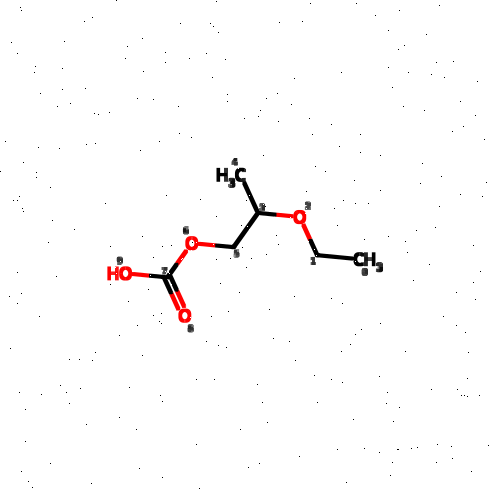 CCOC(C)COC(=O)O